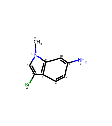 Cn1cc(Br)c2ccc(N)cc21